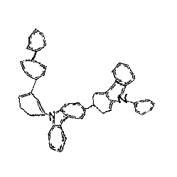 C1=C(c2ccc(-c3ccccc3)cc2)C=C(n2c3ccccc3c3cc(C4C=c5c(n(-c6ccccc6)c6ccccc56)=CC4)ccc32)CC1